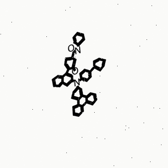 c1ccc(-c2ccc(N(c3ccc4c5ccccc5c5ccccc5c4c3)c3cc4ccccc4c4c3oc3cc(-c5nc6ccccc6o5)ccc34)cc2)cc1